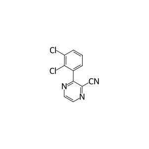 N#Cc1nccnc1-c1cccc(Cl)c1Cl